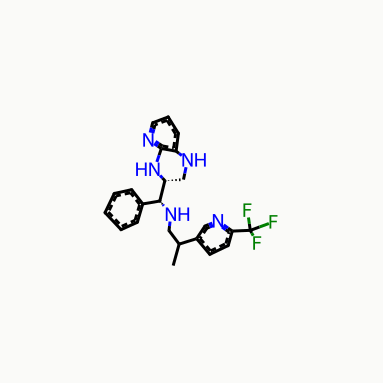 CC(CN[C@H](c1ccccc1)[C@H]1CNc2cccnc2N1)c1ccc(C(F)(F)F)nc1